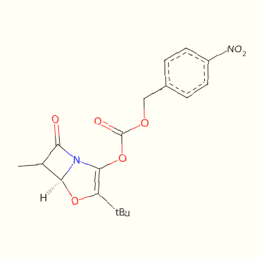 CC1C(=O)N2C(OC(=O)OCc3ccc([N+](=O)[O-])cc3)=C(C(C)(C)C)O[C@@H]12